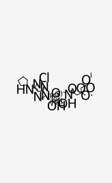 CCOC(=O)OC([O])CC(=O)N(C)C[C@H]1O[C@@H](n2cnc3c(NC4CCCC4)nc(Cl)nc32)[C@H](O)[C@@H]1O